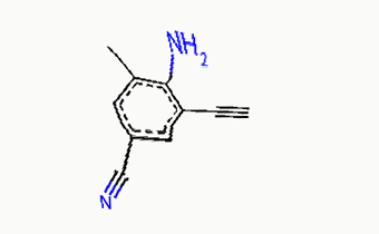 C#Cc1cc(C#N)cc(C)c1N